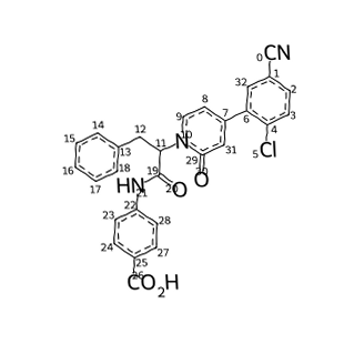 N#Cc1ccc(Cl)c(-c2ccn(C(Cc3ccccc3)C(=O)Nc3ccc(C(=O)O)cc3)c(=O)c2)c1